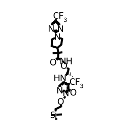 C[C@@H](CONC(=O)C(C)(C)C1CCN(c2ncc(C(F)(F)F)cn2)CC1)Nc1cnn(COCC[Si](C)(C)C)c(=O)c1C(F)(F)F